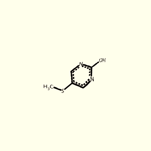 CSc1cnc(O)nc1